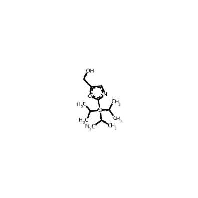 CC(C)[Si](c1ncc(CO)o1)(C(C)C)C(C)C